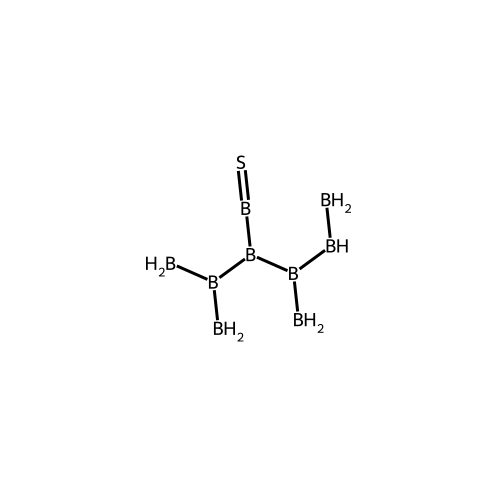 BBB(B)B(B=S)B(B)B